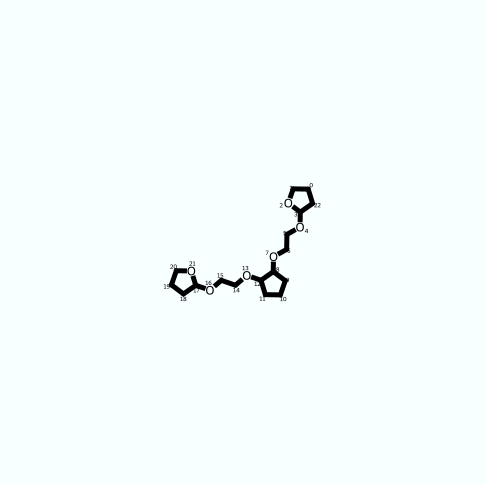 C1COC(OCCOC2CCCC2OCCOC2CCCO2)C1